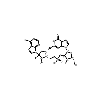 Nc1nc2c(ncn2[C@@H]2S[C@H](CO)[C@@H](F)[C@H]2OP(=O)(S)OC[C@H]2OCC(F)(n3cnc4c(N)ncnc43)[C@@H]2O)c(=O)[nH]1